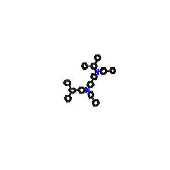 c1ccc(-c2ccc(N(c3ccc(-c4ccc(N(c5ccc(-c6ccccc6)cc5)c5cc(-c6ccccc6)cc(-c6ccccc6)c5)cc4)cc3)c3ccc(-c4cc(-c5ccccc5)cc(-c5ccccc5)c4)cc3)cc2)cc1